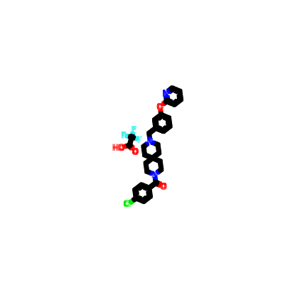 O=C(O)C(F)(F)F.O=C(c1ccc(Cl)cc1)N1CCC2(CCN(Cc3cccc(Oc4ccccn4)c3)CC2)CC1